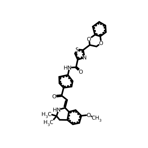 COc1ccc2c(c1)C(=CC(=O)c1ccc(NC(=O)c3csc(C4COc5ccccc5O4)n3)cc1)NC(C)(C)C2